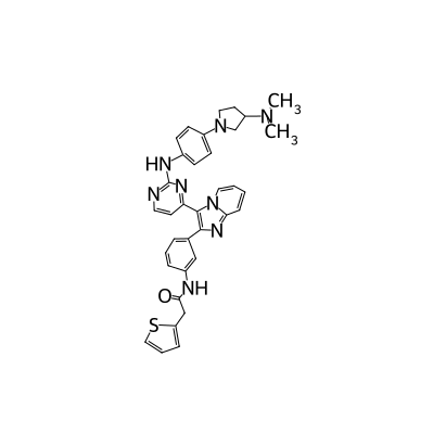 CN(C)C1CCN(c2ccc(Nc3nccc(-c4c(-c5cccc(NC(=O)Cc6cccs6)c5)nc5ccccn45)n3)cc2)C1